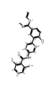 C=CO/C(=N\C)c1ccc(Cl)c(-c2cnc(NC(=O)c3c(F)cncc3F)cn2)c1